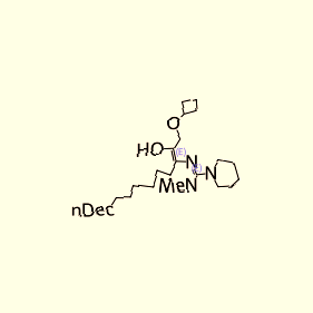 CCCCCCCCCCCCCCCCC(/N=C(\NC)N1CCCCC1)=C(\O)COC1CCC1